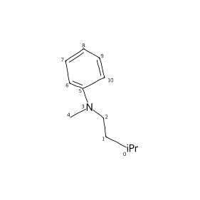 CC(C)CCN(C)c1ccccc1